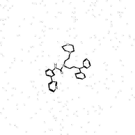 O=C(Nc1cccc(-c2cccnc2)c1)N(CCC(c1ccccc1)c1ccccc1)CCN1CCOCC1